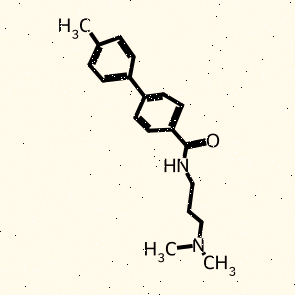 Cc1ccc(-c2ccc(C(=O)NCCCN(C)C)cc2)cc1